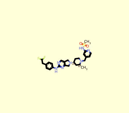 C[C@@H]1C[C@H](N2Cc3cnc(Nc4ccc(CC(F)F)cc4)nc3C2)CCN1Cc1ccnc(NS(C)(=O)=O)c1